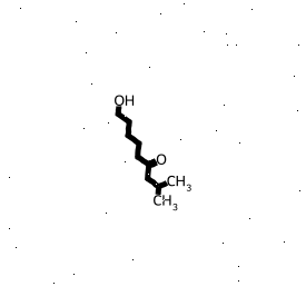 CC(C)CC(=O)CCCCCO